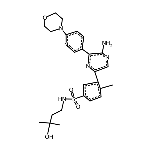 Cc1ccc(S(=O)(=O)NCCC(C)(C)O)cc1-c1cnc(N)c(-c2ccc(N3CCOCC3)nc2)n1